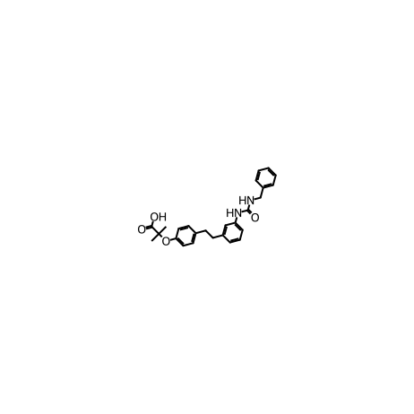 CC(C)(Oc1ccc(CCc2cccc(NC(=O)NCc3ccccc3)c2)cc1)C(=O)O